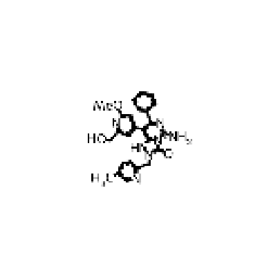 COc1cc(-c2c(-c3ccccc3)nc(N)[n+]3c(=O)n(Cc4ccc(C)cn4)[nH]c23)cc(CO)n1